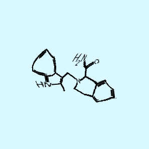 Cc1[nH]c2ccccc2c1CN1CCc2c[c]ccc2C1C(N)=O